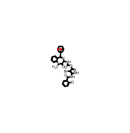 CN1C(=O)C(NC(=O)Oc2n[nH]c(NC(=O)c3ccccc3Cl)c2Br)N=C(N2CC3CCC(CC3)C2)c2ccccc21